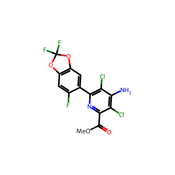 COC(=O)c1nc(-c2cc3c(cc2F)OC(F)(F)O3)c(Cl)c(N)c1Cl